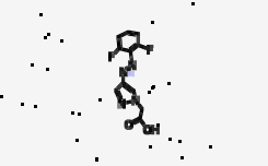 O=C(O)Cn1cc(/N=N/c2c(F)cccc2F)cn1